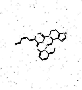 C=C/C=C\C=C(/C)C(=C)O/C(=N\C)N1CCc2[nH]cnc2C1/C=N/N1C(C)=CC=C/C1=C/C